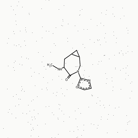 CNC1CC2CC2CN(c2ncco2)C1=O